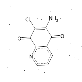 NC1=C(Cl)C(=O)c2ncccc2C1=O